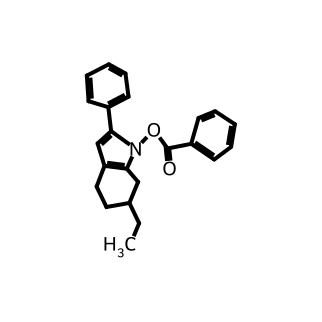 CCC1CCc2cc(-c3ccccc3)n(OC(=O)c3ccccc3)c2C1